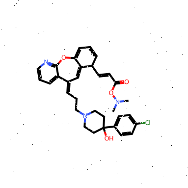 CN(C)OC(=O)C=CC1C=CC=C2Oc3ncccc3C(=CCCN3CCC(O)(c4ccc(Cl)cc4)CC3)C=C21